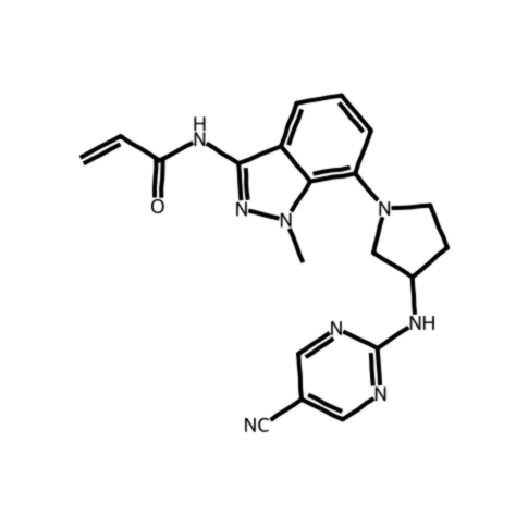 C=CC(=O)Nc1nn(C)c2c(N3CCC(Nc4ncc(C#N)cn4)C3)cccc12